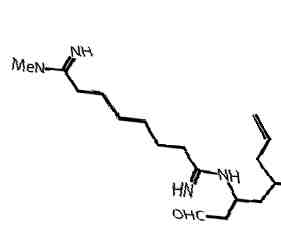 C=CCC(C)CC(CC=O)NC(=N)CCCCCCC(=N)NC